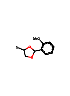 CCC1COC(c2ccccc2OC)O1